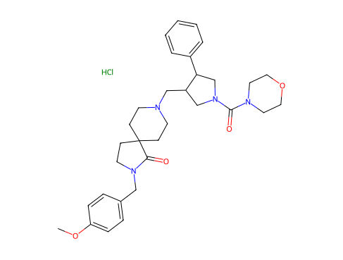 COc1ccc(CN2CCC3(CCN(CC4CN(C(=O)N5CCOCC5)CC4c4ccccc4)CC3)C2=O)cc1.Cl